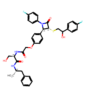 O=C(COc1ccc([C@@H]2[C@@H](SCC(O)c3ccc(F)cc3)C(=O)N2c2ccc(F)cc2)cc1)N[C@H](CO)C(=O)N[C@H](Cc1ccccc1)C(=O)O